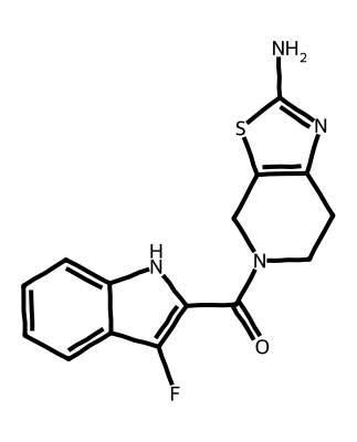 Nc1nc2c(s1)CN(C(=O)c1[nH]c3ccccc3c1F)CC2